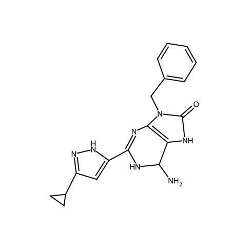 NC1NC(c2cc(C3CC3)n[nH]2)=Nc2c1[nH]c(=O)n2Cc1ccccc1